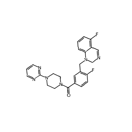 O=C(c1ccc(F)c(CN2CN=Cc3c(F)cccc32)c1)N1CCN(c2ncccn2)CC1